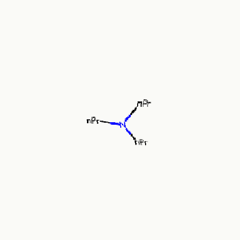 C[CH]CN(CCC)CCC